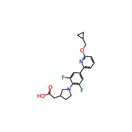 O=C(O)CC1CCN(c2c(F)cc(-c3cccc(OCC4CC4)n3)cc2F)C1